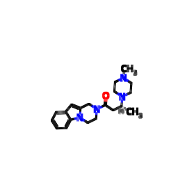 C[C@H](CC(=O)N1CCn2c(cc3ccccc32)C1)N1CCN(C)CC1